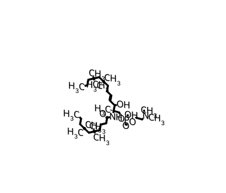 CCCC(C)(C)CC(C)(C)CC/C=C/C(O)[C@@](C)(COP(=O)(O)OCCN(C)C)NC(=O)CCCC(C)(C)CC(C)(C)CCC